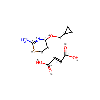 NC1=NC(OCC2CC2)CCS1.O=C(O)/C=C/C(=O)O